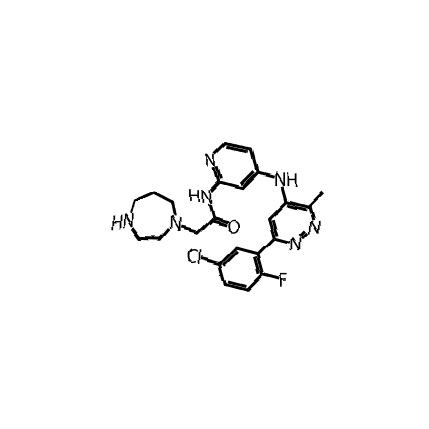 Cc1nnc(-c2cc(Cl)ccc2F)cc1Nc1ccnc(NC(=O)CN2CCCNCC2)c1